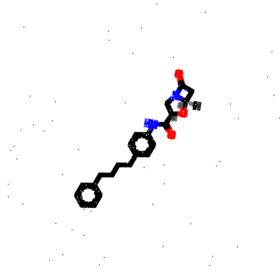 O=C(Nc1ccc(CCCCc2ccccc2)cc1)[C@H]1CN2C(=O)C[C@H]2O1